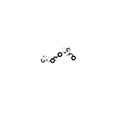 CC(=O)N1CCC[C@H]1C(=O)Nc1ccc2oc(-c3ccc(NC(=O)[C@@H]4CCCN4C(=O)Cc4ccccc4)cc3)cc2c1